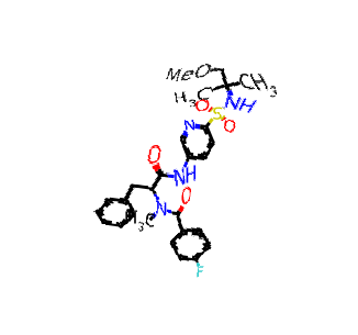 COCC(C)(C)NS(=O)(=O)c1ccc(NC(=O)C(Cc2ccccc2)N(C)C(=O)c2ccc(F)cc2)cn1